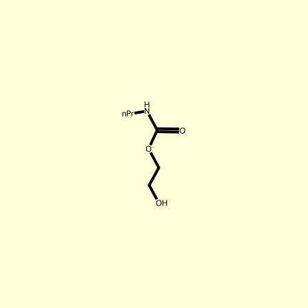 [CH2]CCNC(=O)OCCO